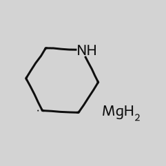 [CH]1CCNCC1.[MgH2]